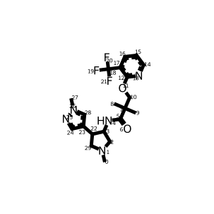 CN1CC(NC(=O)C(C)(C)COc2ncccc2C(F)(F)F)C(c2cnn(C)c2)C1